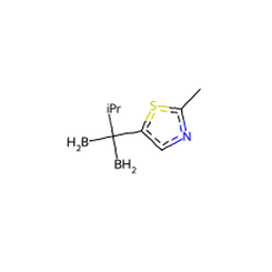 BC(B)(c1cnc(C)s1)C(C)C